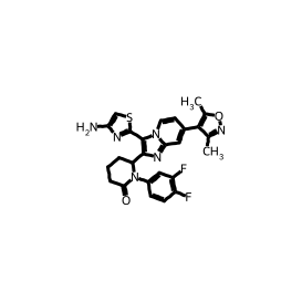 Cc1noc(C)c1-c1ccn2c(-c3nc(N)cs3)c(C3CCCC(=O)N3c3ccc(F)c(F)c3)nc2c1